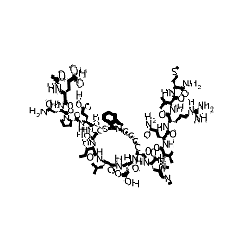 C=N/C=C(/C[C@H](NC(=O)[C@@H]1CCCCn2cc3ccccc3c2SC[C@H](NC(O)[C@H](CCC(=O)O)NC(=O)[C@@H]2CCCN2C(=O)[C@H](CC(N)=O)NC(=O)[C@H](CCC(=O)O)NC(C)=O)C(O)N[C@@H]([C@@H](C)CC)C(=O)N[C@@H](CC(C)C)C(=O)N[C@@H](CC(=O)O)C(=O)N1)C(=O)N[C@H](C(=O)N[C@@H](CCC(N)=O)C(=O)N[C@@H](CCCNC(=N)N)C(=O)N[C@H](C(=O)N[C@@H](CCSC)C(N)=O)C(C)C)C(C)C)NC